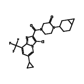 O=C(c1nc2c(C(F)(F)F)cc(C3CC3)cn2c1Cl)N1CCN(C2CCC3CC3C2)C(=O)C1